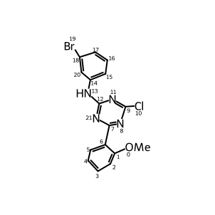 COc1ccccc1-c1nc(Cl)nc(Nc2cccc(Br)c2)n1